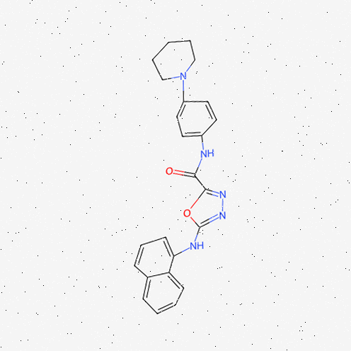 O=C(Nc1ccc(N2CCCCC2)cc1)c1nnc(Nc2cccc3ccccc23)o1